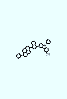 N#Cc1ccc2c(c1)c1cc(-c3ccc(-c4ccc5ccc6c(-c7cccnc7)ccc7ccc4c5c76)c4ccccc34)ccc1n2-c1ccccc1